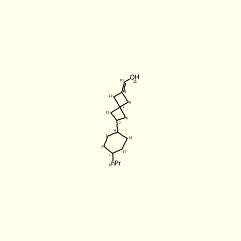 CCCC1CCC(C2CC3(CC(=CO)C3)C2)CC1